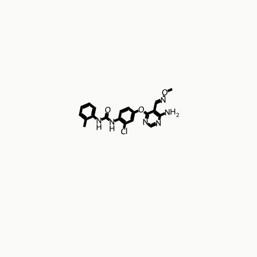 CON=Cc1c(N)ncnc1Oc1ccc(NC(=O)Nc2ccccc2C)c(Cl)c1